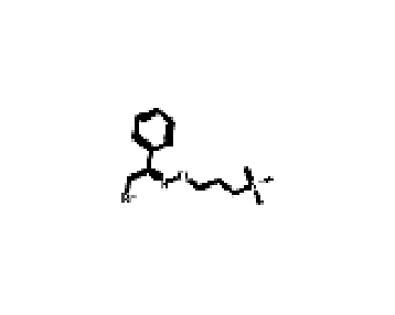 C[N+](C)(C)CCCO/N=C(/CBr)c1ccccc1